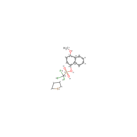 C1CCSC1.COc1ccc(OS(=O)(=O)C(F)(F)F)c2ccccc12